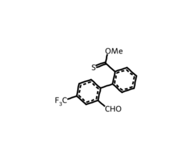 COC(=S)c1ccccc1-c1ccc(C(F)(F)F)cc1C=O